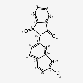 O=C1c2nccnc2C(=O)N1c1ccc2ccc(Cl)nc2n1